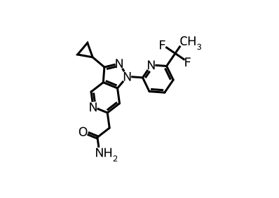 CC(F)(F)c1cccc(-n2nc(C3CC3)c3cnc(CC(N)=O)cc32)n1